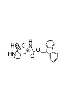 O=C(N[C@H](CC1CCNC1=O)C(=O)O)OCC1c2ccccc2-c2ccccc21